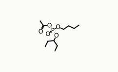 CCCCOP(=O)(OC(C)=O)OC(CC)CC